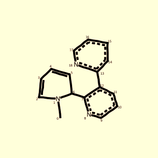 CN1C=CC=CC1c1ncccc1-c1ccccn1